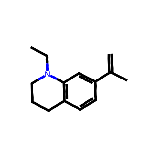 C=C(C)c1ccc2c(c1)N(CC)CCC2